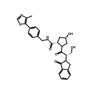 Cc1ncsc1-c1ccc(CNC(=O)[C@@H]2C[C@@H](O)CN2C(=O)[C@H](CO)N2Cc3ccccc3C2=O)cc1